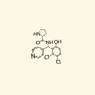 O=C(NC(c1ccncc1)c1c(O)ccc(Cl)c1Cl)C1CCCN1